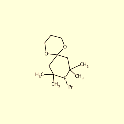 CC(C)P1C(C)(C)CC2(CC1(C)C)OCCCO2